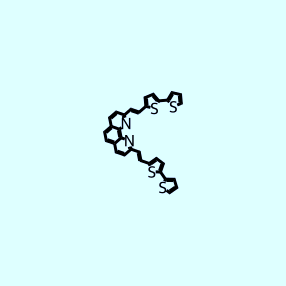 C(=Cc1ccc(-c2cccs2)s1)c1ccc2ccc3ccc(C=Cc4ccc(-c5cccs5)s4)nc3c2n1